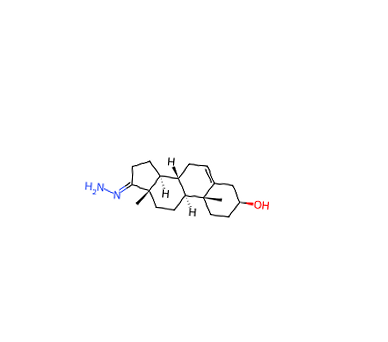 C[C@]12CC[C@H](O)CC1=CC[C@@H]1[C@@H]2CC[C@]2(C)/C(=N/N)CC[C@@H]12